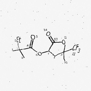 CCC(C)(C)C(=O)OC1CC(C)(C(F)(F)F)OC1=O